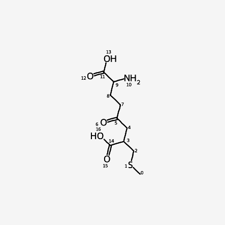 CSCC(CC(=O)CCC(N)C(=O)O)C(=O)O